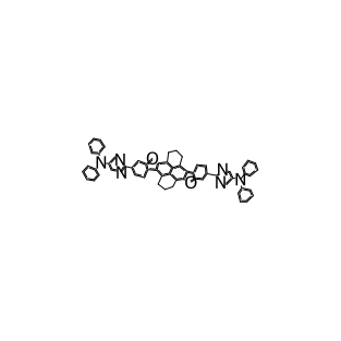 c1ccc(N(c2ccccc2)c2cnc(-c3ccc4c(c3)oc3c5c6c(c7c(oc8cc(-c9ncc(N(c%10ccccc%10)c%10ccccc%10)cn9)ccc87)c7c6c(c34)CCC7)CCC5)nc2)cc1